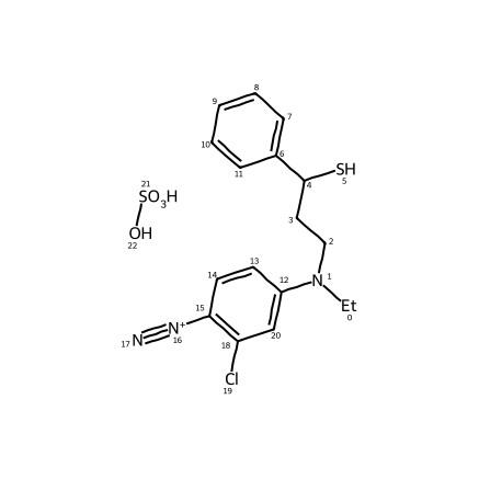 CCN(CCC(S)c1ccccc1)c1ccc([N+]#N)c(Cl)c1.O=S(=O)(O)O